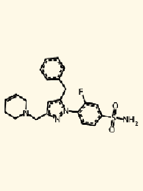 NS(=O)(=O)c1ccc(-n2nc(CN3CC=CCC3)cc2Cc2ccccc2)c(F)c1